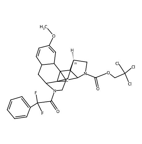 COC1=CC2C(C=C1)CC1N(C(=O)C(F)(F)c3ccccc3)CCC23C2C4CCC13C[C@@H]2CN4C(=O)OCC(Cl)(Cl)Cl